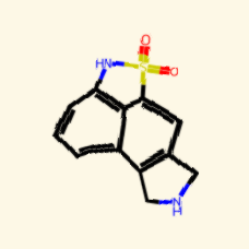 O=S1(=O)Nc2cccc3c4c(cc1c23)CNC4